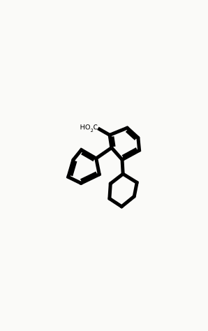 O=C(O)c1cccc(C2CCCCC2)c1-c1ccccc1